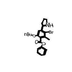 CCCCOc1cc(C2CCCN2)c(Br)c(C)c1C(=O)Oc1ccccc1